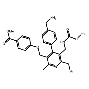 COC(=O)c1ccc(SCc2c(C)nc(CC(C)C)c(CNC(=O)OC(C)(C)C)c2-c2ccc(CN)cc2)cc1